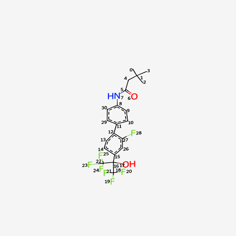 CC(C)(C)CC(=O)Nc1ccc(-c2ccc(C(O)(C(F)(F)F)C(F)(F)F)cc2F)cc1